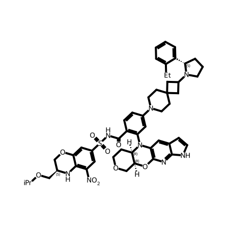 CCc1ccccc1[C@@H]1CCCN1C1CC2(CCN(c3ccc(C(=O)NS(=O)(=O)c4cc5c(c([N+](=O)[O-])c4)N[C@@H](COC(C)C)CO5)c(N4c5cc6cc[nH]c6nc5O[C@H]5COCC[C@H]54)c3)CC2)C1